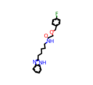 O=C(COCc1ccc(F)cc1)NCCCCCc1nc2ccccc2[nH]1